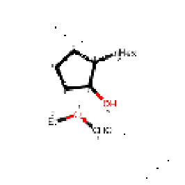 CCCCCCC1CCCC1O.CCOC=O